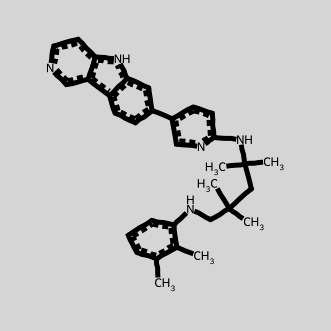 Cc1cccc(NCC(C)(C)CC(C)(C)Nc2ccc(-c3ccc4c(c3)[nH]c3ccncc34)cn2)c1C